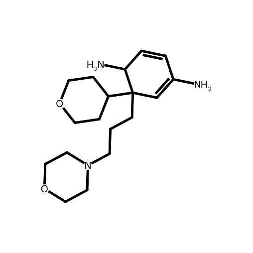 NC1=CC(CCCN2CCOCC2)(C2CCOCC2)C(N)C=C1